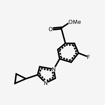 COC(=O)c1cc(F)cc(-n2cnc(C3CC3)c2)c1